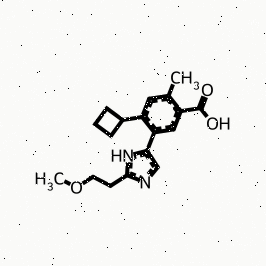 COCCc1ncc(-c2cc(C(=O)O)c(C)cc2C2CCC2)[nH]1